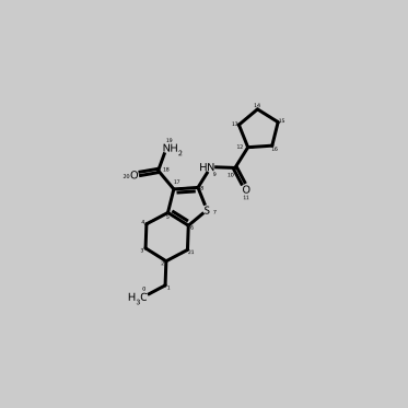 CCC1CCc2c(sc(NC(=O)C3CCCC3)c2C(N)=O)C1